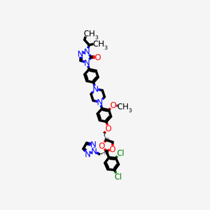 CCC(C)n1ncn(-c2ccc(N3CCN(c4ccc(OC[C@@H]5CO[C@@](Cn6nccn6)(c6ccc(Cl)cc6Cl)O5)cc4OC)CC3)cc2)c1=O